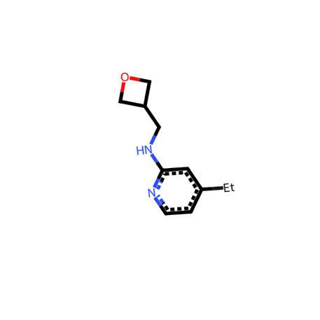 CCc1ccnc(NCC2COC2)c1